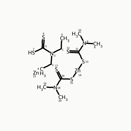 CCN(CC)C(=S)S.CN(C)C(=S)[S][Zn][S]C(=S)N(C)C.[Zn]